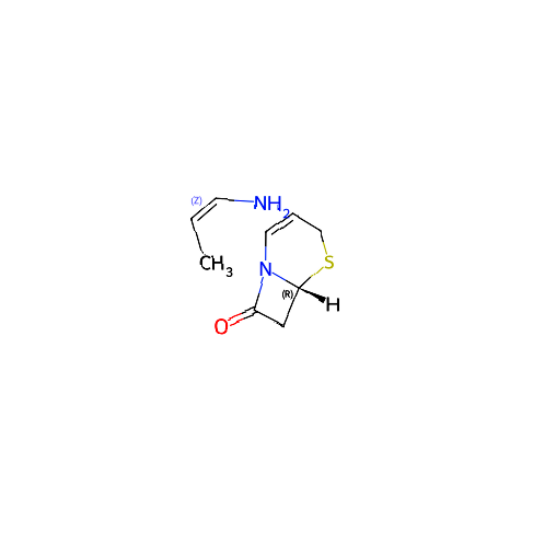 C/C=C\N.O=C1C[C@H]2SCC=CN12